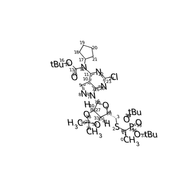 C[C@@H](SC[C@H]1O[C@@H](n2ncc3c(N(C(=O)OC(C)(C)C)C4CCCC4)nc(Cl)nc32)[C@@H]2OC(C)(C)O[C@@H]21)P(=O)(OC(C)(C)C)OC(C)(C)C